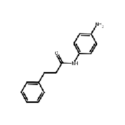 Nc1ccc(NC(=O)CCc2ccccc2)cc1